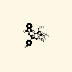 CC1(C)O[C@@H](CO)[C@H](CN2[C@H](CN3C(=O)c4ccccc4C3=O)[C@H](c3ccc(Br)cc3)[C@@H]2CN=[N+]=[N-])O1